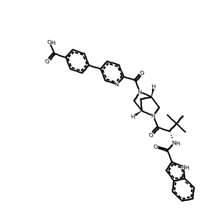 CC(C)(C)[C@H](NC(=O)c1cc2ccccc2[nH]1)C(=O)N1C[C@@H]2C[C@H]1CN2C(=O)c1ccc(-c2ccc(C(=O)O)cc2)cn1